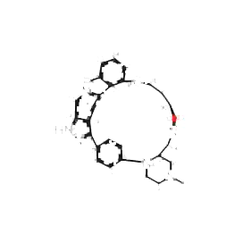 CN1CCN2c3ccc(cc3)-c3n[nH]c4cnc(cc34)-c3c(F)cccc3OCCC3CN(C3)CC2C1